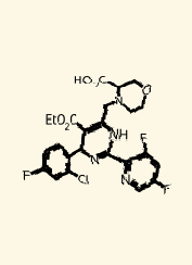 CCOC(=O)C1=C(CN2CCOCC2C(=O)O)NC(c2ncc(F)cc2F)=NC1c1ccc(F)cc1Cl